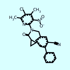 Cc1nc(N(Cc2ccc(-c3ccccc3)c(C#N)c2)C(=O)C2CC2)c([N+](=O)[O-])c(C)c1Cl